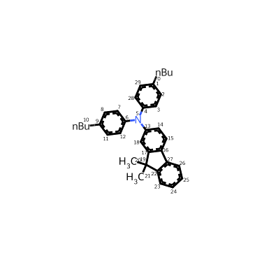 CCCCc1ccc(N(c2ccc(CCCC)cc2)c2ccc3c(c2)C(C)(C)c2ccccc2-3)cc1